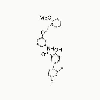 COc1ccccc1CCOc1cccc(NC(=O)c2cc(-c3ccc(F)cc3F)ccc2O)c1